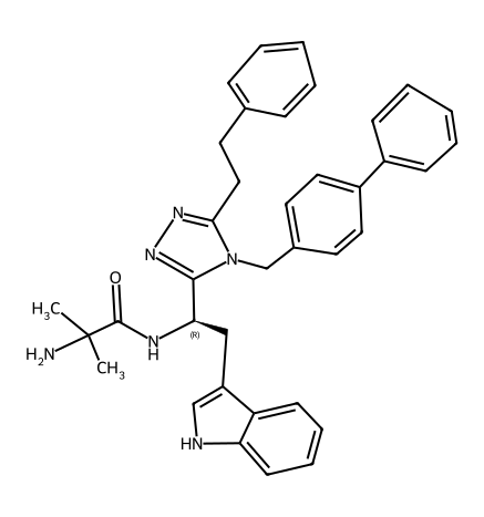 CC(C)(N)C(=O)N[C@H](Cc1c[nH]c2ccccc12)c1nnc(CCc2ccccc2)n1Cc1ccc(-c2ccccc2)cc1